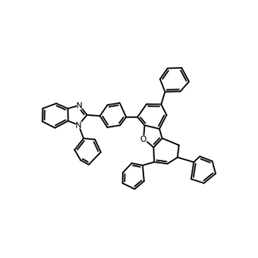 C1=C(c2ccccc2)c2oc3c(-c4ccc(-c5nc6ccccc6n5-c5ccccc5)cc4)cc(-c4ccccc4)cc3c2CC1c1ccccc1